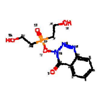 O=c1c2ccccc2nnn1OP(=O)(CCO)CCO